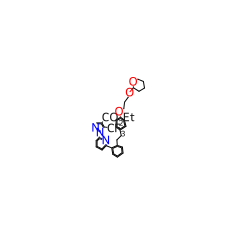 CCOC(=O)c1cnn(-c2cccc(-c3ccccc3CCc3ccc(OCCCOC4CCCCO4)cc3)n2)c1C(F)(F)F